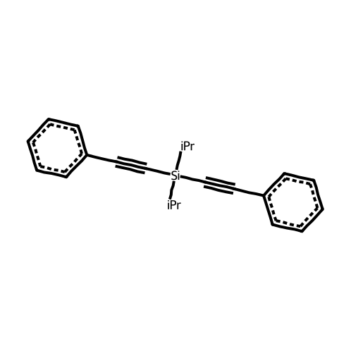 CC(C)[Si](C#Cc1ccccc1)(C#Cc1ccccc1)C(C)C